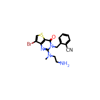 CN(CCN)c1nc2c(Br)csc2c(=O)n1Cc1ccccc1C#N